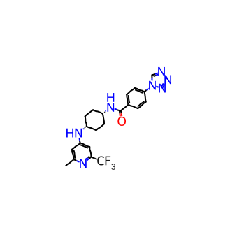 Cc1cc(N[C@H]2CC[C@@H](NC(=O)c3ccc(-n4cnnn4)cc3)CC2)cc(C(F)(F)F)n1